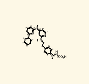 C[C@H](NC(=O)O)c1ccc(CCNc2nccc(N(C)c3ccnc(-c4ccccc4)n3)n2)cc1